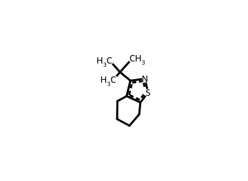 CC(C)(C)c1nsc2c1CCCC2